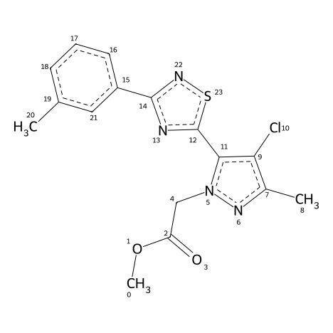 COC(=O)Cn1nc(C)c(Cl)c1-c1nc(-c2cccc(C)c2)ns1